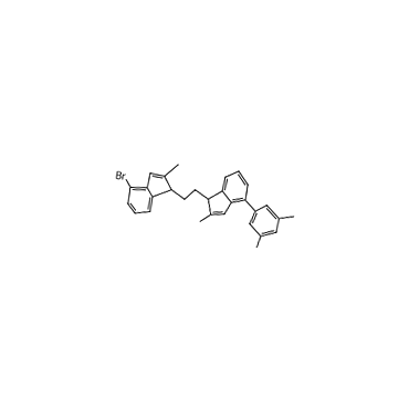 CC1=Cc2c(Br)cccc2C1CCC1C(C)=Cc2c(-c3cc(C)cc(C)c3)cccc21